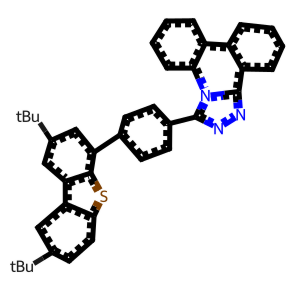 CC(C)(C)c1ccc2sc3c(-c4ccc(-c5nnc6c7ccccc7c7ccccc7n56)cc4)cc(C(C)(C)C)cc3c2c1